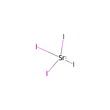 [I][Sr]([I])([I])[I]